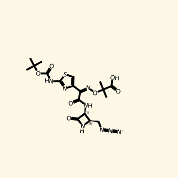 CC(C)(C)OC(=O)Nc1nc(C(=NOC(C)(C)C(=O)O)C(=O)N[C@@H]2C(=O)N[C@@H]2CN=[N+]=[N-])cs1